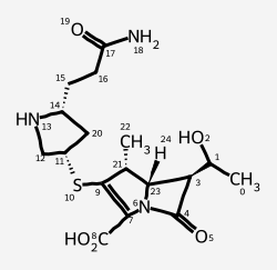 CC(O)[C@H]1C(=O)N2C(C(=O)O)=C(S[C@@H]3CN[C@H](CCC(N)=O)C3)[C@H](C)[C@H]12